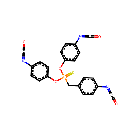 O=C=Nc1ccc(CP(=S)(Oc2ccc(N=C=O)cc2)Oc2ccc(N=C=O)cc2)cc1